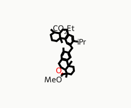 CCOC(=O)C1(C)CCCC2(C)c3cc(Cc4cc5c(cc4C)CCC4C(C)(C(=O)OC)CCCC54C)c(C(C)C)cc3CCC12